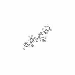 CCCC[C@H](NC(=O)O[C@@H]1CN(C(=O)c2cc(C)on2)CC1(C)C)C(=O)C(=O)N[C@H](C)c1ccccc1